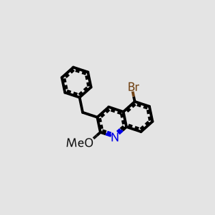 COc1nc2cccc(Br)c2cc1Cc1ccccc1